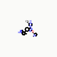 Cc1ccc2[nH]ncc2c1C1CCCc2c(nc(OC[C@@H]3CCCN3C)nc2N2CCN[C@@H](CC#N)C2)C1